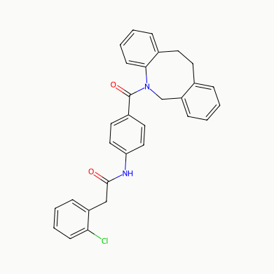 O=C(Cc1ccccc1Cl)Nc1ccc(C(=O)N2Cc3ccccc3CCc3ccccc32)cc1